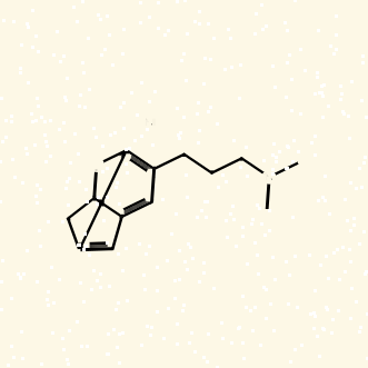 CN(C)CCCc1cc2cc3c1OC2C3.N